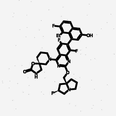 CCc1c(F)ccc2cc(O)cc(-c3c(F)cc4c(N5CCC[C@@]6(CNC(=O)O6)C5)nc(OC[C@@]56CCCN5C[C@H](F)C6)nc4c3F)c12